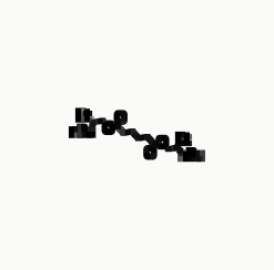 CCCC[C@H](CC)COC(=O)CCCCC(=O)OC[C@@H](CC)CCCC